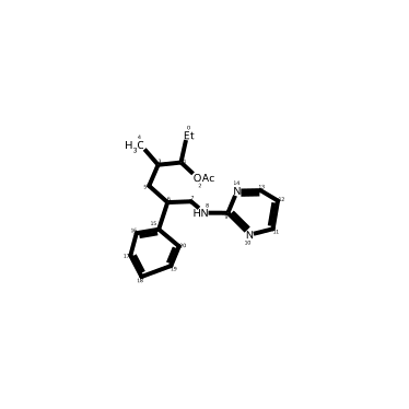 CCC(OC(C)=O)C(C)CC(CNc1ncccn1)c1ccccc1